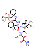 CCCC[C@H](NC(=O)[C@@H]1[C@@H]2[C@H](CN1C(=O)[C@@H](NC(=O)NC1(CS(=O)(=O)C(C)(C)CC)CCCCC1)C1(C)CCCCC1)C2(C)C)C(=O)C(=O)NCCC